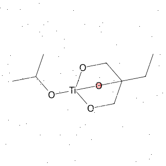 CCC12C[O][Ti]([O]C(C)C)([O]C1)[O]C2